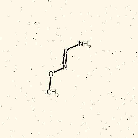 CON=CN